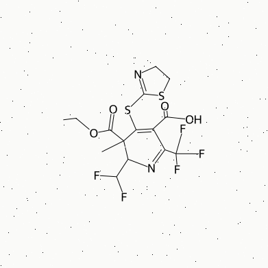 CCOC(=O)C1(C)C(SC2=NCCS2)=C(C(=O)O)C(C(F)(F)F)=NC1C(F)F